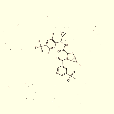 C[C@H]1C2C[C@H](C(=O)NC(c3cc(F)c(C(F)(F)F)cc3F)C3CC3)N(C(=O)c3cncc(S(C)(=O)=O)c3)C21